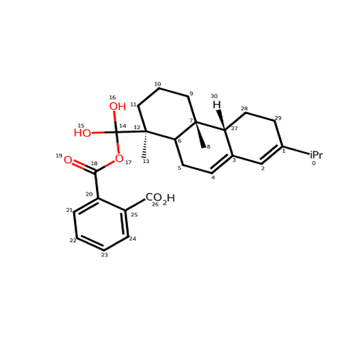 CC(C)C1=CC2=CCC3[C@](C)(CCC[C@]3(C)C(O)(O)OC(=O)c3ccccc3C(=O)O)[C@@H]2CC1